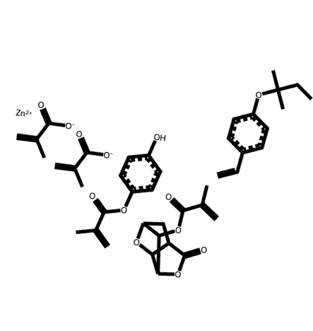 C=C(C)C(=O)OC1C2CC3C(=O)OC1C3O2.C=C(C)C(=O)Oc1ccc(O)cc1.C=C(C)C(=O)[O-].C=C(C)C(=O)[O-].C=Cc1ccc(OC(C)(C)CC)cc1.[Zn+2]